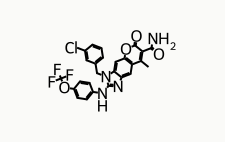 Cc1c(C(N)=O)c(=O)oc2cc3c(cc12)nc(Nc1ccc(OC(F)(F)F)cc1)n3Cc1cccc(Cl)c1